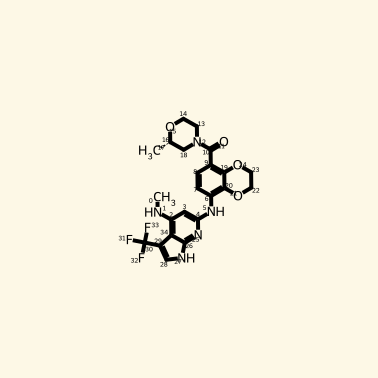 CNc1cc(Nc2ccc(C(=O)N3CCO[C@@H](C)C3)c3c2OCCO3)nc2[nH]cc(C(F)(F)F)c12